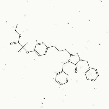 CCOC(=O)C(C)(C)Oc1ccc(CCCc2cn(Cc3ccccc3)c(=O)n2Cc2ccccc2)cc1